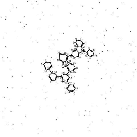 c1ccc(-c2cccc(-c3nc(-c4ccccc4)cc(-c4cccc5c4oc4cccc(-c6ccc7c(c6)c6ccccc6n7-c6ccccc6)c45)n3)c2)cc1